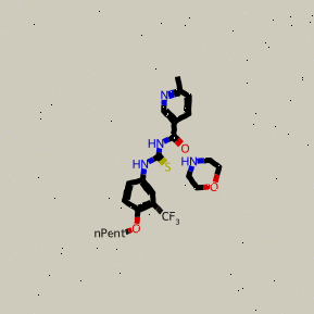 C1COCCN1.CCCCCOc1ccc(NC(=S)NC(=O)c2ccc(C)nc2)cc1C(F)(F)F